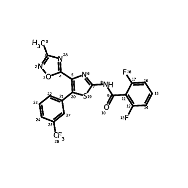 Cc1noc(-c2nc(NC(=O)c3c(F)cccc3F)sc2-c2cccc(C(F)(F)F)c2)n1